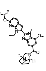 CCn1c(-c2nc3cc(C(=O)N4C[C@H]5CC6C[C@@H]4[C@H]65)cc(OC)c3n2C)cc2ccc(OC(F)F)nc21